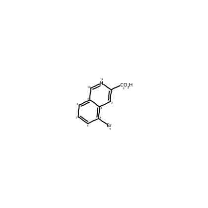 O=C(O)c1cc2c(Br)cccc2cn1